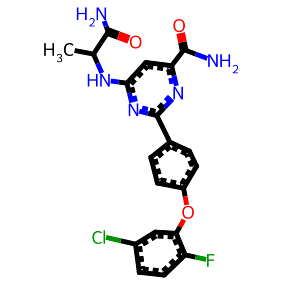 CC(Nc1cc(C(N)=O)nc(-c2ccc(Oc3cc(Cl)ccc3F)cc2)n1)C(N)=O